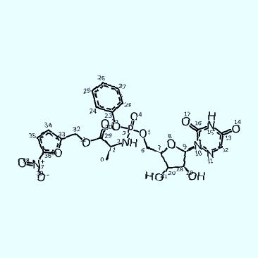 C[C@H](NP(=O)(OC[C@H]1O[C@@H](n2ncc(=O)[nH]c2=O)[C@@H](O)C1O)Oc1ccccc1)C(=O)OCc1ccc([N+](=O)[O-])o1